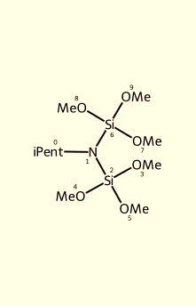 CCCC(C)N([Si](OC)(OC)OC)[Si](OC)(OC)OC